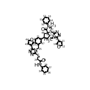 CN(C(=O)C1(Sc2nnc(-c3ccoc3)n2C)CCC(c2cccc(Cn3c(SCC(=O)Nc4ccccc4)nnc3-c3ccoc3)c2)C1)c1ccccc1